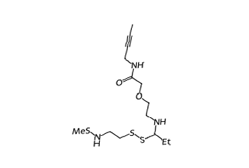 CC#CCNC(=O)COCCNC(CC)SSCCNSC